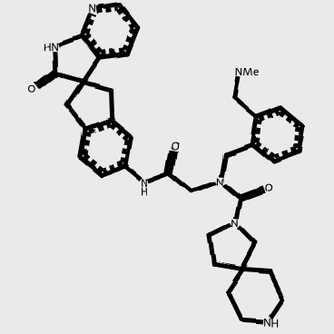 CNCc1ccccc1CN(CC(=O)Nc1ccc2c(c1)CC1(C2)C(=O)Nc2ncccc21)C(=O)N1CCC2(CCNCC2)C1